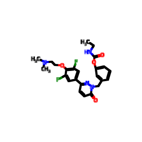 CCNC(=O)Oc1cccc(Cn2nc(-c3cc(F)c(OCCN(C)C)c(F)c3)ccc2=O)c1